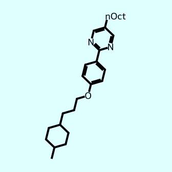 CCCCCCCCc1cnc(-c2ccc(OCCCC3CCC(C)CC3)cc2)nc1